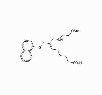 COCCNCC(=CCCCCC(=O)O)COc1cccc2ccccc12